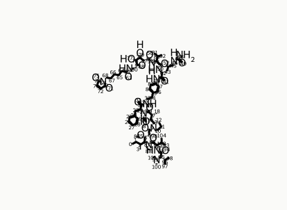 CC[C@H](C)[C@@H]([C@@H](CC(=O)N1CCC[C@H]1[C@H](OC)[C@@H](C)C(=O)NC(Cc1ccccc1)C(=O)NCCc1ccc(NC(=O)[C@@H](CCCNC(N)=O)NC(=O)C(NC(=O)[C@@H]2O[C@H](CNC(=O)CCCCCN3C(=O)C=CC3=O)C(O)C2O)C(C)C)cc1)OC)N(C)C(=O)C(NC(=O)[C@H](C(C)C)N(C)C)C(C)C